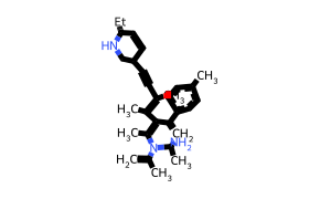 C=C(C(/C(C)=C(\C)C#CC1C=CC(CC)NC1)=C(/C)N(C(=C)C)C(C)N)c1ccc(C)cc1